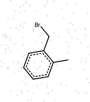 Cc1cc[c]cc1CBr